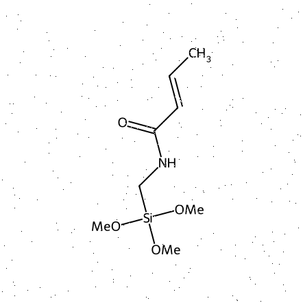 CC=CC(=O)NC[Si](OC)(OC)OC